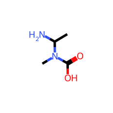 CC(N)N(C)C(=O)O